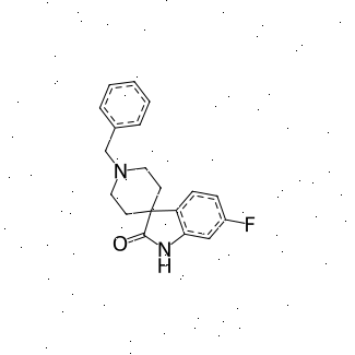 O=C1Nc2cc(F)ccc2C12CCN(Cc1ccccc1)CC2